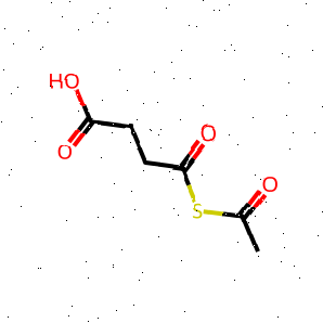 CC(=O)SC(=O)CCC(=O)O